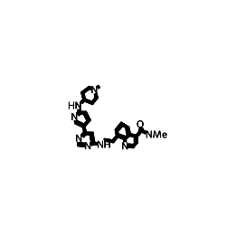 CNC(=O)c1ccnc2c(CCNc3cc(-c4ccc(NC5CCN(C)CC5)nc4)ncn3)cccc12